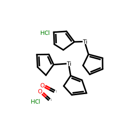 C1=CC[C]([Ti][C]2=CC=CC2)=C1.C1=CC[C]([Ti][C]2=CC=CC2)=C1.Cl.Cl.[C]=O.[C]=O